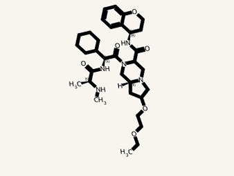 CCOCCOC1C[C@@H]2CN(C(=O)[C@@H](NC(=O)[C@H](C)NC)C3CCCCC3)C(C(=O)N[C@@H]3CCOc4ccccc43)CN2C1